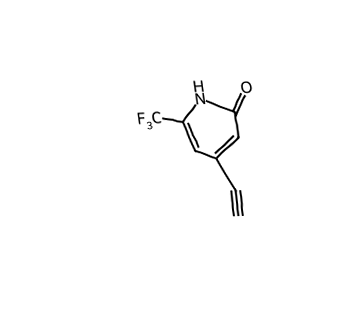 C#Cc1cc(C(F)(F)F)[nH]c(=O)c1